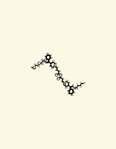 CCCCCn1cc(C2CCN(CCC(=O)OC(=O)CCCN3CCC(c4cn(CCOCCOC)c5ccccc45)CC3)CC2)c2ccccc21